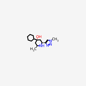 C[C@H]1C[C@@](O)(C2CCCCC2)C[C@@H](c2cn(C)nn2)N1